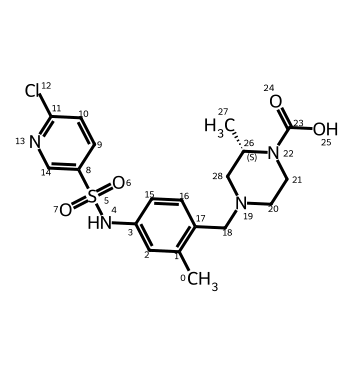 Cc1cc(NS(=O)(=O)c2ccc(Cl)nc2)ccc1CN1CCN(C(=O)O)[C@@H](C)C1